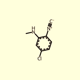 [C-]#[N+]c1ccc(Cl)cc1NC